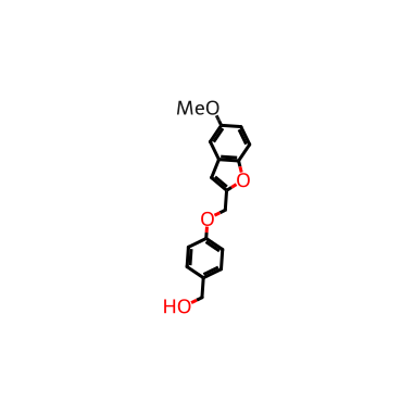 COc1ccc2oc(COc3ccc(CO)cc3)cc2c1